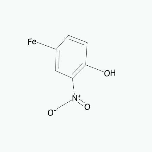 O=[N+]([O-])c1c[c]([Fe])ccc1O